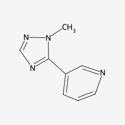 Cn1ncnc1-c1cccnc1